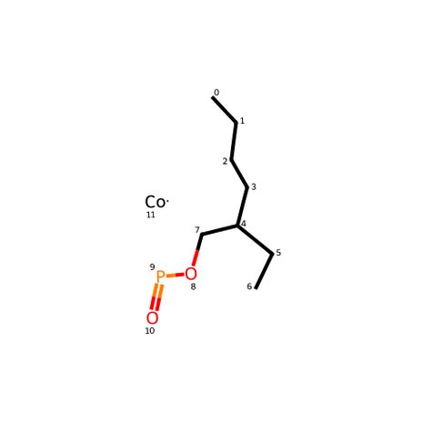 CCCCC(CC)COP=O.[Co]